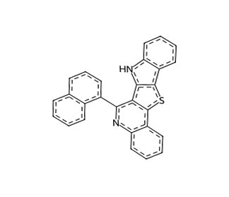 c1ccc2c(-c3nc4ccccc4c4sc5c6ccccc6[nH]c5c34)cccc2c1